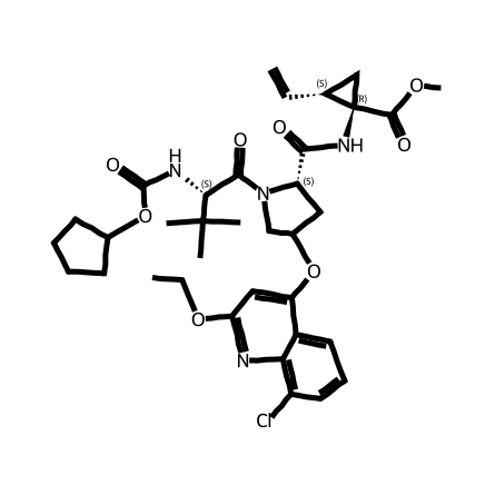 C=C[C@@H]1C[C@]1(NC(=O)[C@@H]1CC(Oc2cc(OCC)nc3c(Cl)cccc23)CN1C(=O)[C@@H](NC(=O)OC1CCCC1)C(C)(C)C)C(=O)OC